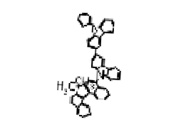 CC1(C)c2ccc3ccccc3c2-c2c1cc(-n1c3ccccc3c3cc(-c4ccc5c(c4)c4ccccc4n5-c4ccccc4)ccc31)c1ccccc21